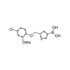 COc1cc(Cl)ccc1OCc1cc(B(O)O)cs1